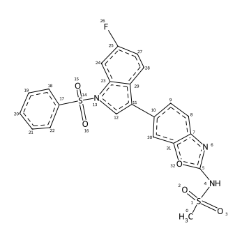 CS(=O)(=O)Nc1nc2ccc(-c3cn(S(=O)(=O)c4ccccc4)c4cc(F)ccc34)cc2o1